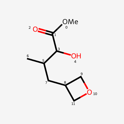 COC(=O)C(O)C(C)CC1COC1